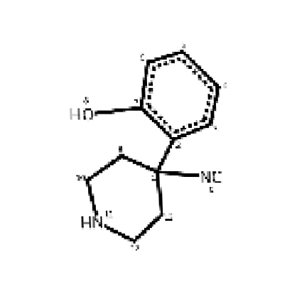 [C-]#[N+]C1(c2ccccc2O)CCNCC1